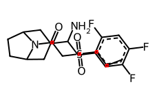 CCCS(=O)(=O)CC(=O)N1C2CCC1CC(C(N)Cc1cc(F)c(F)cc1F)C2